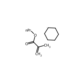 [CH2]CCOC(=O)C(=C)C.[CH]1CCCCC1